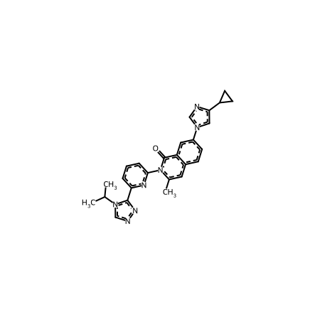 Cc1cc2ccc(-n3cnc(C4CC4)c3)cc2c(=O)n1-c1cccc(-c2nncn2C(C)C)n1